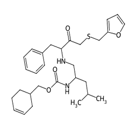 CC(C)CC(CNC(Cc1ccccc1)C(=O)CSCc1ccco1)NC(=O)OCC1CC=CCC1